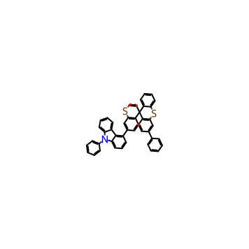 c1ccc(-c2ccc3c(c2)Sc2ccccc2C32c3ccccc3Sc3cc(-c4cccc5c4c4ccccc4n5-c4ccccc4)ccc32)cc1